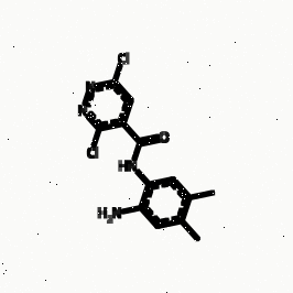 Cc1cc(N)c(NC(=O)c2cc(Cl)nnc2Cl)cc1C